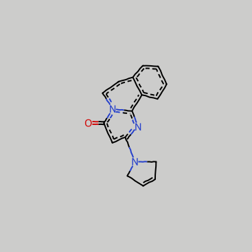 O=c1cc(N2CC=CC2)nc2c3ccccc3ccn12